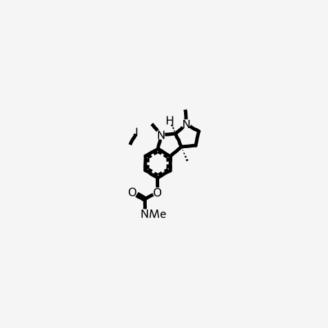 CI.CNC(=O)Oc1ccc2c(c1)[C@]1(C)CCN(C)[C@@H]1N2C